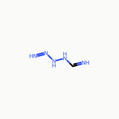 N=CNNN=N